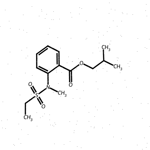 CCS(=O)(=O)N(C)c1ccccc1C(=O)OCC(C)C